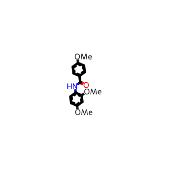 COc1ccc(C(=O)Nc2ccc(OC)cc2OC)cc1